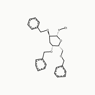 CCS[C@@H]1O[C@H](COCc2ccccc2)[C@H](OCc2ccccc2)C[C@H]1OCc1ccccc1